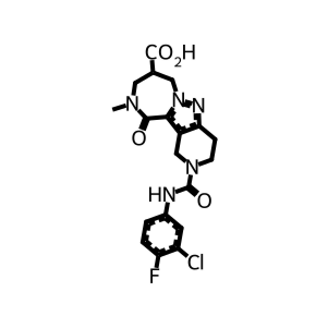 CN1CC(C(=O)O)Cn2nc3c(c2C1=O)CN(C(=O)Nc1ccc(F)c(Cl)c1)CC3